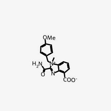 COc1ccc(C[N+]2(C)C(C(N)=O)=Nc3c(C(=O)[O-])cccc32)cc1